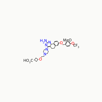 COc1cc(OC(F)(F)F)ccc1COc1ccc2c(c1)CCc1c-2nc(N)nc1N1CCN(CCO[C@H]2C[C@@H](C(=O)O)C2)CC1